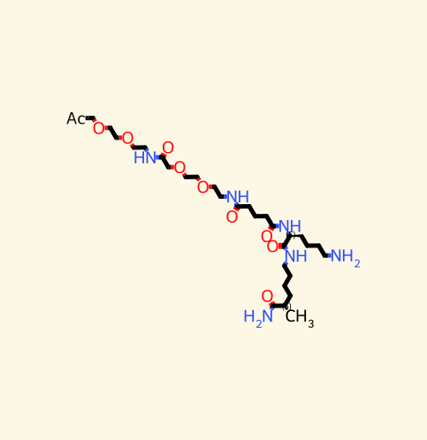 CC(=O)COCCOCCNC(=O)COCCOCCNC(=O)CCCC(=O)N[C@@H](CCCCN)C(=O)NCCCC[C@H](C)C(N)=O